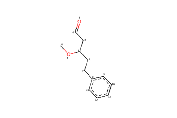 COC(C[C]=O)CCc1ccccc1